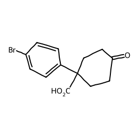 O=C1CCC(C(=O)O)(c2ccc(Br)cc2)CC1